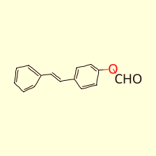 O=COc1ccc(C=Cc2ccccc2)cc1